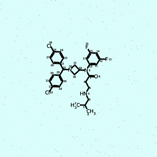 CC(C)CNCCC(=O)N(c1cc(F)cc(F)c1)C1CN(C(c2ccc(Cl)cc2)c2ccc(Cl)cc2)C1